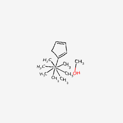 CO.[CH3][Ti]([CH3])([CH3])([CH3])([CH3])([CH3])([CH3])[C]1=CC=CC1